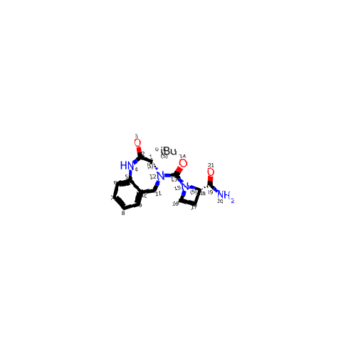 CC[C@H](C)[C@H]1C(=O)Nc2ccccc2CN1C(=O)N1CC[C@H]1C(N)=O